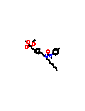 CCCCCCCN(CCc1ccc(CC(OCC)C(=O)OC)cc1)C(=O)N(C)c1ccc(C)cc1